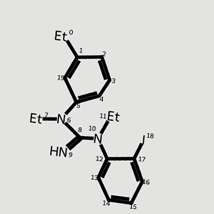 CCc1cccc(N(CC)C(=N)N(CC)c2ccccc2I)c1